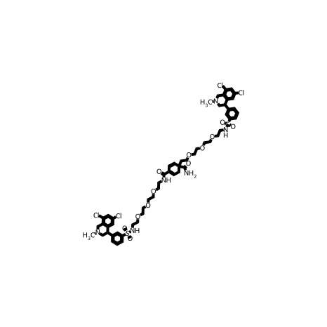 CN1Cc2c(Cl)cc(Cl)cc2C(c2cccc(S(=O)(=O)NCCOCCOCCOCCNC(=O)C3=CCC(CCOCCOCCOCCNS(=O)(=O)c4cccc(C5CN(C)Cc6c(Cl)cc(Cl)cc65)c4)(C(N)=O)C=C3)c2)C1